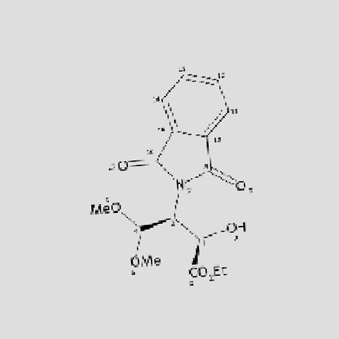 CCOC(=O)[C@H](O)[C@@H](C(OC)OC)N1C(=O)c2ccccc2C1=O